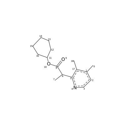 Cc1ccnc(C(C)C(=O)OC2CCCCC2)c1C